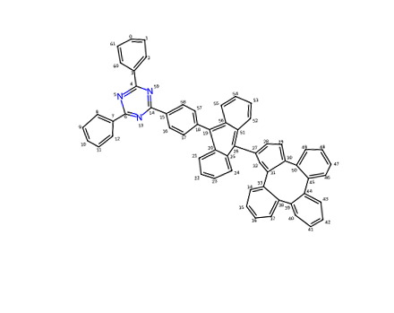 c1ccc(-c2nc(-c3ccccc3)nc(-c3ccc(-c4c5ccccc5c(-c5ccc6c(c5)-c5ccccc5-c5ccccc5-c5ccccc5-6)c5ccccc45)cc3)n2)cc1